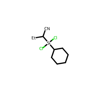 CCC(C#N)[Si](Cl)(Cl)C1CCCCC1